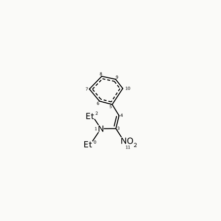 CCN(CC)C(=Cc1ccccc1)[N+](=O)[O-]